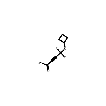 CC(C)C(=O)C#CC(F)(F)OC1CCC1